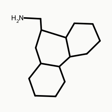 NCC1CC2CCCCC2C2CCCCC12